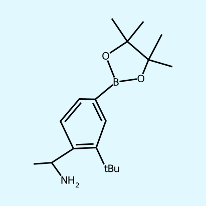 CC(N)c1ccc(B2OC(C)(C)C(C)(C)O2)cc1C(C)(C)C